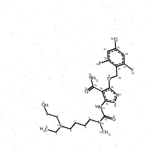 CCN(CCO)CCCCN(C)C(=O)Nc1snc(OCc2c(F)cc(Cl)cc2F)c1C(N)=O